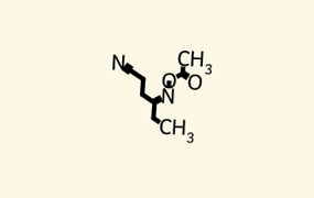 CCC(CCC#N)=NOC(C)=O